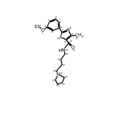 CCOc1cccc(-c2nc(C)c(C(=O)NCCCCN3CCCC3)s2)c1